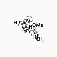 COc1nc(N2CCN(C)CC2)cc(-n2ncc3cc(C)c(OC4CCOC4)cc32)n1